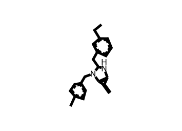 C=C1C2=C1N(Cc1ccc(C)cc1)C(Cc1cccc(CC)c1)N2